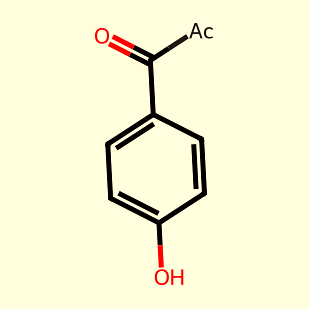 CC(=O)C(=O)c1ccc(O)cc1